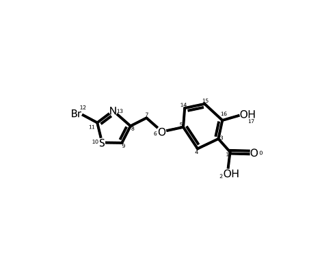 O=C(O)c1cc(OCc2csc(Br)n2)ccc1O